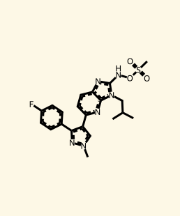 CC(C)Cn1c(NOS(C)(=O)=O)nc2ccc(-c3cn(C)nc3-c3ccc(F)cc3)nc21